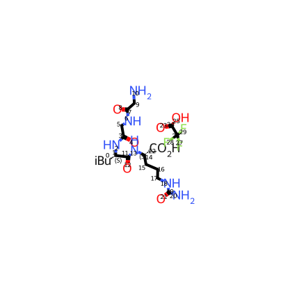 CCC(C)[C@H](NC(=O)CNC(=O)CN)C(=O)N[C@@H](CCCNC(N)=O)C(=O)O.O=C(O)C(F)(F)F